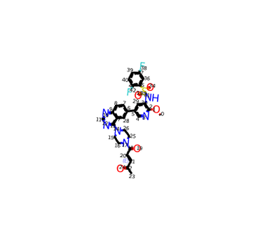 COc1ncc(-c2ccc3ncnc(N4CCN(C(=O)/C=C/C(C)=O)CC4)c3c2)cc1NS(=O)(=O)c1cc(F)ccc1F